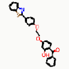 O=C(c1ccccc1)c1ccc(OCCOc2ccc(-c3nc4ccccc4s3)cc2)cc1O